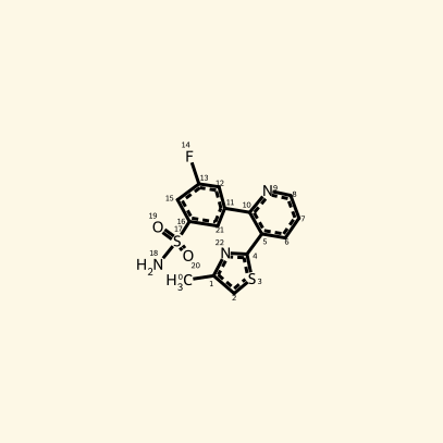 Cc1csc(-c2cccnc2-c2cc(F)cc(S(N)(=O)=O)c2)n1